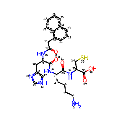 NCCCC[C@H](NC(=O)C(Cc1c[nH]cn1)NC(=O)Cc1cccc2ccccc12)C(=O)NC(CS)C(=O)O